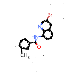 Cc1cccc(C(=O)Nc2cccc3cc(Br)cnc23)c1